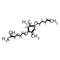 C=CCCCOc1cc(C)c(OCCCC=C(C)C)cc1C